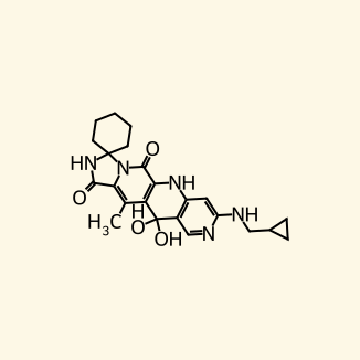 Cc1c2c(c(=O)n3c1C(=O)NC31CCCCC1)Nc1cc(NCC3CC3)ncc1C2(O)O